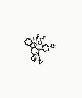 C[C@@H]1Cc2c([nH]c3ccccc23)[C@@H](c2ccc(Br)cc2OC(F)F)N1CC1(F)CC1